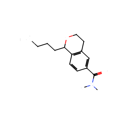 CN(C)C(=O)c1ccc2c(c1)CCOC2CCCS(=O)(=O)O